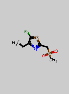 CCc1nc(CS(C)(=O)=O)sc1Br